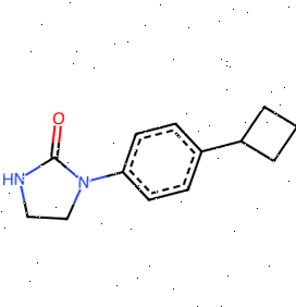 O=C1NCCN1c1ccc(C2CCC2)cc1